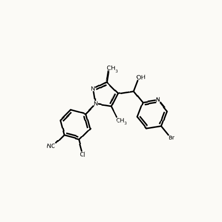 Cc1nn(-c2ccc(C#N)c(Cl)c2)c(C)c1C(O)c1ccc(Br)cn1